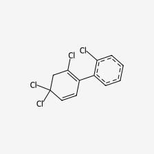 ClC1=C(c2ccccc2Cl)C=CC(Cl)(Cl)C1